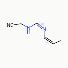 C/C=C\N=C/NCC#N